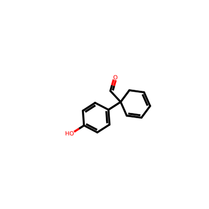 O=CC1(c2ccc(O)cc2)C=CC=CC1